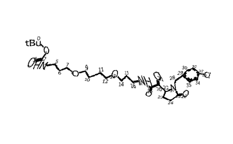 CC(C)(C)OC(=O)NCCCOCCCCOCCCNC(=O)C(=O)C1CCC(=O)N1Cc1ccc(Cl)cc1